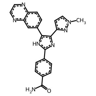 Cn1ccc(-c2nc(-c3ccc(C(N)=O)cc3)[nH]c2-c2ccc3nccnc3c2)n1